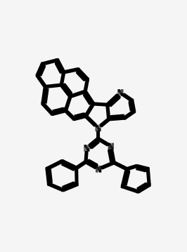 c1ccc(-c2nc(-c3ccccc3)nc(-n3c4cccnc4c4c5ccc6cccc7ccc(cc43)c5c76)n2)cc1